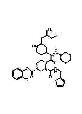 CC(CS)CC1CC([C@@H](NC2CCCCC2)C(=O)N2CCN(C(=O)Oc3ccccc3Cl)C[C@H]2C(=O)NCc2cccs2)CCN1